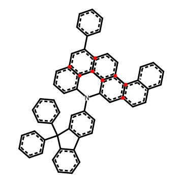 c1ccc(-c2cccc(-c3ccccc3N(c3ccc4c(c3)C(c3ccccc3)(c3ccccc3)c3ccccc3-4)c3ccccc3-c3cccc(-c4cccc5ccccc45)c3)c2)cc1